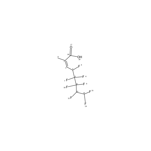 CC(=CC(F)C(F)(F)C(F)(F)C(F)C(F)F)C(=O)O